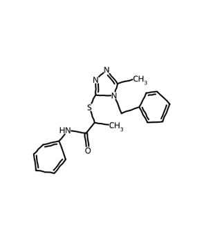 Cc1nnc(SC(C)C(=O)Nc2ccccc2)n1Cc1ccccc1